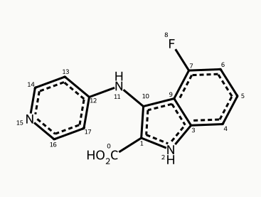 O=C(O)c1[nH]c2cccc(F)c2c1Nc1ccncc1